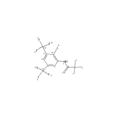 CC(C)(C)C(=O)Nc1cc(C(F)(F)F)cc(C(F)(F)F)c1I